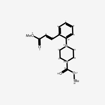 COC(=O)C=Cc1ccccc1N1CCN(C(=O)OC(C)(C)C)CC1